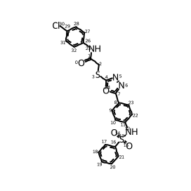 O=C(CSc1nnc(-c2ccc(NS(=O)(=O)c3ccccc3)cc2)o1)Nc1ccc(Cl)cc1